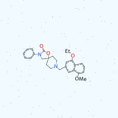 CCOc1cc(CN2CCC3(CC2)CN(c2ccccc2)C(=O)O3)cc2c(OC)cccc12